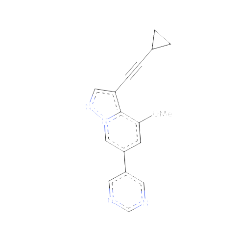 COc1cc(-c2cncnc2)cn2ncc(C#CC3CC3)c12